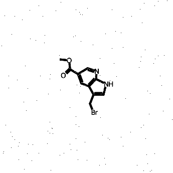 COC(=O)c1cnc2[nH]cc(CBr)c2c1